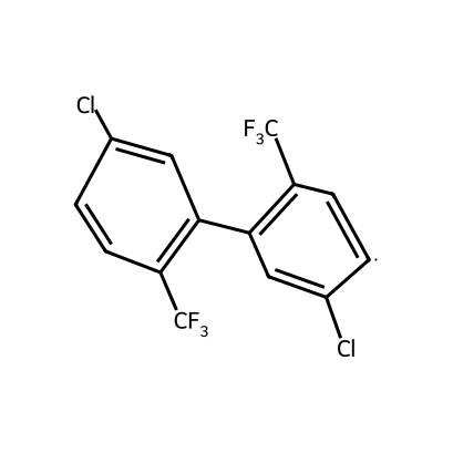 FC(F)(F)c1c[c]c(Cl)cc1-c1cc(Cl)ccc1C(F)(F)F